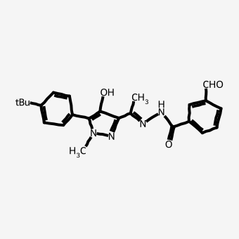 C/C(=N\NC(=O)c1cccc(C=O)c1)c1nn(C)c(-c2ccc(C(C)(C)C)cc2)c1O